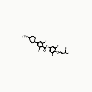 CCCC1CCC(c2cc(F)c(C(=O)Oc3cc(F)c(O/C=C/C(F)F)c(F)c3)c(F)c2)CC1